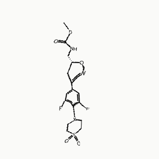 COC(=O)NC[C@H]1CC(c2cc(F)c(N3CCS(=O)(=O)CC3)c(F)c2)=NO1